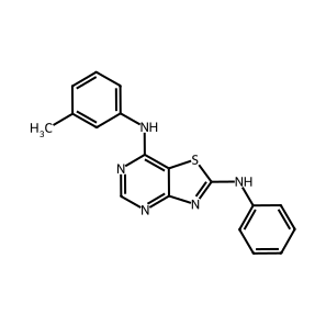 Cc1cccc(Nc2ncnc3nc(Nc4ccccc4)sc23)c1